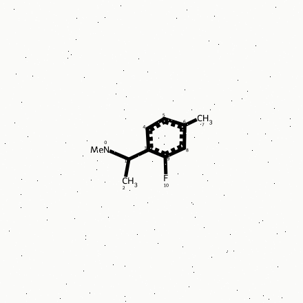 CNC(C)c1ccc(C)cc1F